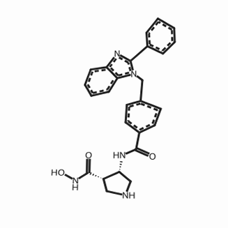 O=C(N[C@@H]1CNC[C@@H]1C(=O)NO)c1ccc(Cn2c(-c3ccccc3)nc3ccccc32)cc1